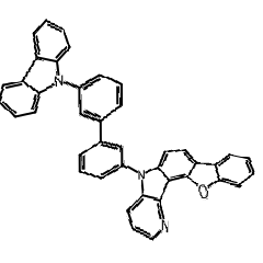 c1cc(-c2cccc(-n3c4cccnc4c4c5oc6ccccc6c5ccc43)c2)cc(-n2c3ccccc3c3ccccc32)c1